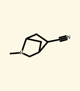 CN1CC2CC1CC2C#N